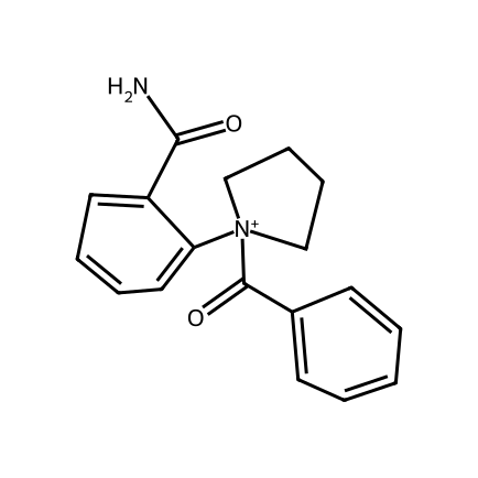 NC(=O)c1ccccc1[N+]1(C(=O)c2ccccc2)CCCC1